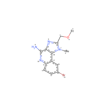 CCCCn1c(COCC)nc2c(N)nc3ccc(Br)cc3c21